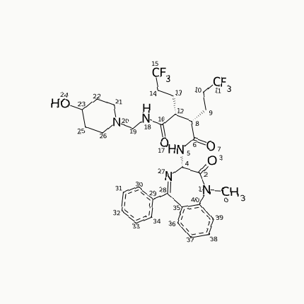 CN1C(=O)[C@@H](NC(=O)[C@@H](CCC(F)(F)F)[C@@H](CCC(F)(F)F)C(=O)NCN2CCC(O)CC2)N=C(c2ccccc2)c2ccccc21